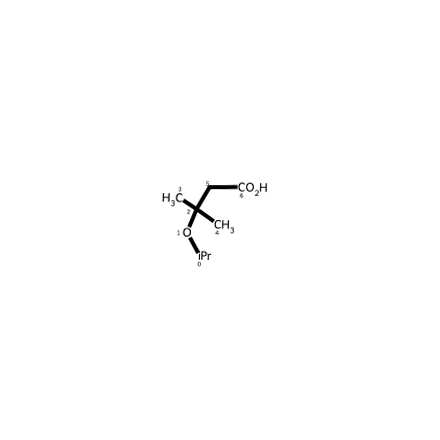 CC(C)OC(C)(C)CC(=O)O